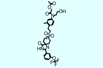 CC(=O)OCC(=O)N(CCO)c1ccc(CCS(=O)(=O)N2CCC3(CC2)N=C(c2cccc(OC(F)(F)F)c2)NC3=O)c(C)c1